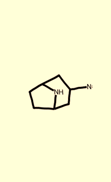 [N]C1CC2CCC(C1)N2